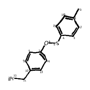 Cc1ccc(SOc2ccc(CC(C)C)cc2)cc1